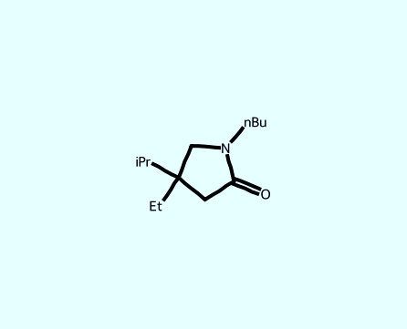 CCCCN1CC(CC)(C(C)C)CC1=O